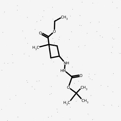 CCOC(=O)C1(C)CC(NNC(=O)OC(C)(C)C)C1